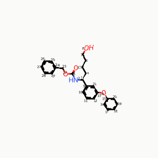 O=C(N[C@@H](CCCCO)c1cccc(Oc2ccccc2)c1)OCc1ccccc1